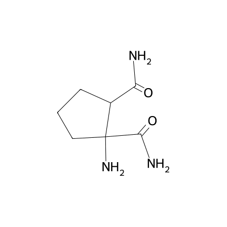 NC(=O)C1CCCC1(N)C(N)=O